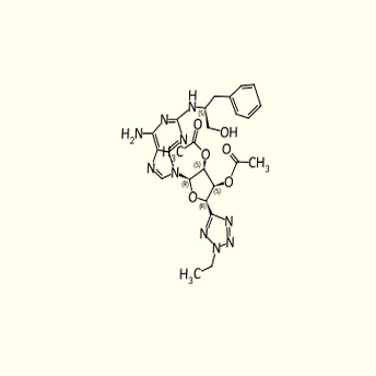 CCn1nnc([C@H]2O[C@@H](n3cnc4c(N)nc(N[C@H](CO)Cc5ccccc5)nc43)[C@@H](OC(C)=O)[C@H]2OC(C)=O)n1